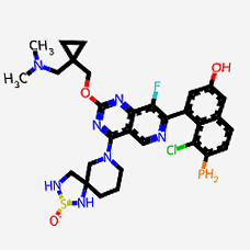 CN(C)CC1(COc2nc(N3CCCC4(CN[S+]([O-])N4)C3)c3cnc(-c4cc(O)cc5ccc(P)c(Cl)c45)c(F)c3n2)CC1